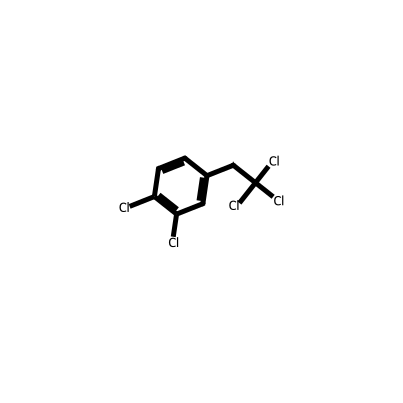 Clc1ccc([CH]C(Cl)(Cl)Cl)cc1Cl